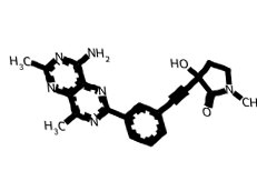 Cc1nc(N)c2nc(-c3cccc(C#CC4(O)CCN(C)C4=O)c3)nc(C)c2n1